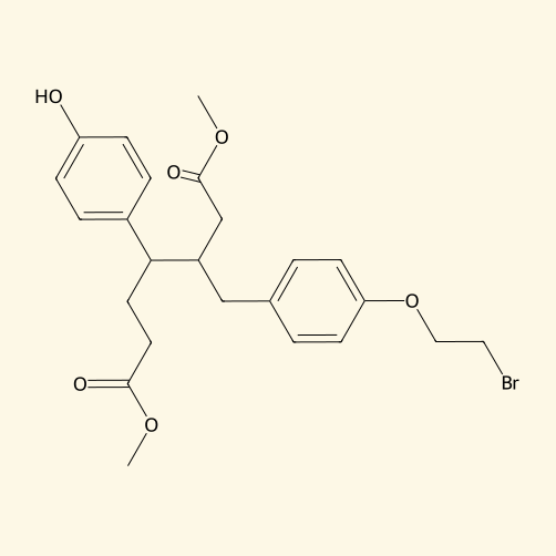 COC(=O)CCC(c1ccc(O)cc1)C(CC(=O)OC)Cc1ccc(OCCBr)cc1